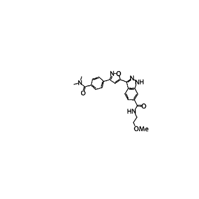 COCCNC(=O)c1ccc2c(-c3cc(-c4ccc(C(=O)N(C)C)cc4)no3)n[nH]c2c1